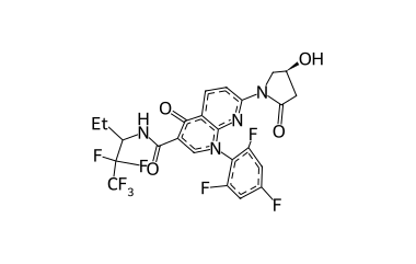 CCC(NC(=O)c1cn(-c2c(F)cc(F)cc2F)c2nc(N3C[C@@H](O)CC3=O)ccc2c1=O)C(F)(F)C(F)(F)F